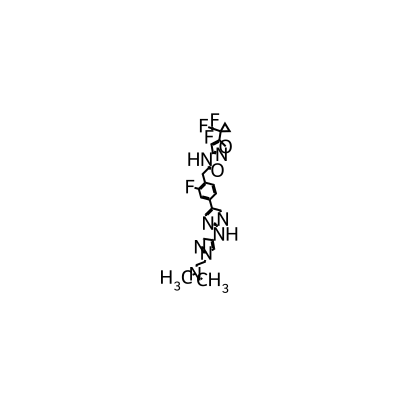 CN(C)CCn1cc(Nc2ncc(-c3ccc(CC(=O)Nc4cc(C5(C(F)(F)F)CC5)on4)c(F)c3)cn2)cn1